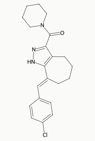 O=C(c1n[nH]c2c1CCCCC2=Cc1ccc(Cl)cc1)N1CCCCC1